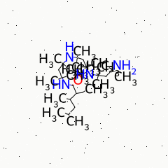 CCC(C(=O)NC(C)(C)CC(C)(C)NC(C)(C)CC(C)(C)NC(C)(C)CC(C)(C)N)C(C)CC(C)C